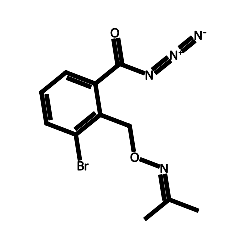 CC(C)=NOCc1c(Br)cccc1C(=O)N=[N+]=[N-]